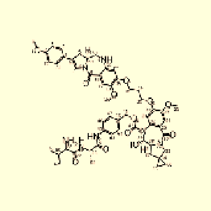 COc1ccc(C2=CN3C(=O)c4cc(OC)c(OCCCOc5cc6c(cc5OC)C(=O)N5CC7(CC7)C[C@H]5C(O)N6C(=O)OCc5ccc(NC(=O)[C@H](C)NC(=O)[C@H](N)C(C)C)cc5)cc4NC[C@@H]3C2)cc1